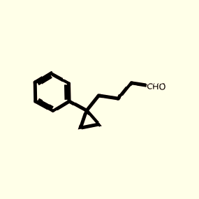 O=CCCCC1(c2ccccc2)CC1